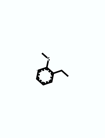 CCc1ccc[c]c1SC